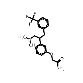 CN(C)CC(Cc1cccc(C(F)(F)F)c1)c1cccc(OCC(N)=O)c1